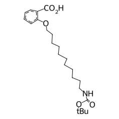 CC(C)(C)OC(=O)NCCCCCCCCCCCOc1ccccc1C(=O)O